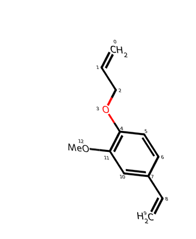 C=CCOc1ccc(C=C)cc1OC